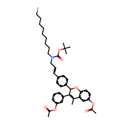 CC(=O)Oc1cccc(C2=C(C)c3cc(OC(C)=O)ccc3OC2c2ccc(/C=C/CN(CCCCCCCCCF)C(=O)OC(C)(C)C)cc2)c1